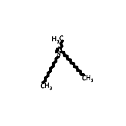 CCCCCCCCCCCCCCC1N(CCCC)C=CN1CCCCCCCCCCCCC